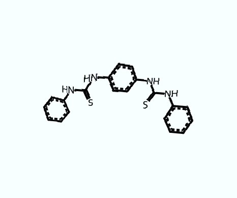 S=C(Nc1ccccc1)Nc1ccc(NC(=S)Nc2ccccc2)cc1